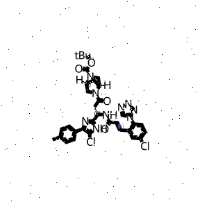 Cc1ccc(-c2nc([C@H](CC(=O)N3C[C@@H]4C[C@H]3CN4C(=O)OC(C)(C)C)NC(=O)/C=C/c3cc(Cl)ccc3-n3cnnn3)[nH]c2Cl)cc1